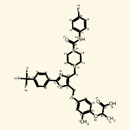 Cc1cc(SCc2sc(-c3ccc(C(F)(F)F)cc3)nc2CN2CCN(C(=O)Nc3ccc(F)cc3)CC2)ccc1OC(C)C(=O)O